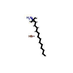 Br.CCCCCCCCCCCCCC(C)(C)N